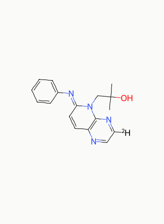 [2H]c1cnc2cc/c(=N\c3ccccc3)n(CC(C)(C)O)c2n1